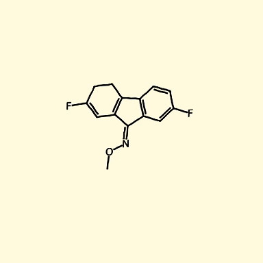 CO/N=C1\C2=C(CCC(F)=C2)c2ccc(F)cc21